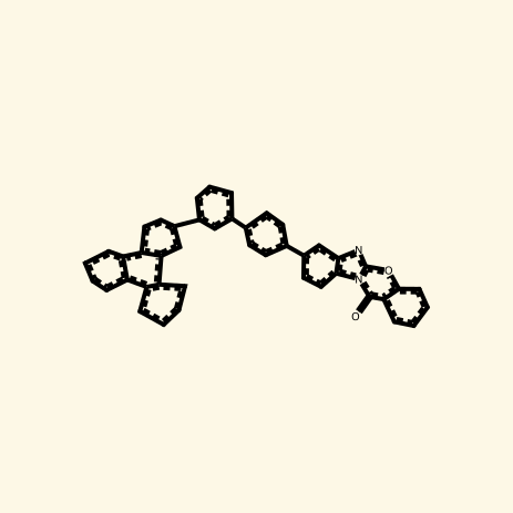 O=c1c2ccccc2oc2nc3cc(-c4ccc(-c5cccc(-c6ccc7c8ccccc8c8ccccc8c7c6)c5)cc4)ccc3n12